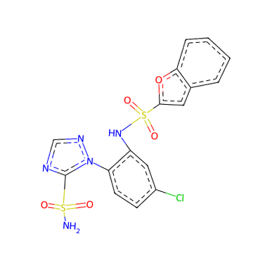 NS(=O)(=O)c1ncnn1-c1ccc(Cl)cc1NS(=O)(=O)c1cc2ccccc2o1